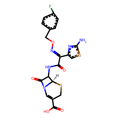 Nc1nc(C(=NOCc2ccc(F)cc2)C(=O)NC2C(=O)N3C=C(C(=O)O)CS[C@H]23)cs1